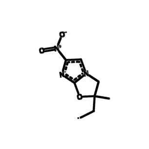 [CH2]CC1(C)Cn2cc([N+](=O)[O-])nc2O1